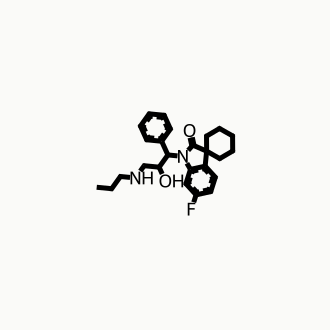 CCCNCC(O)C(c1ccccc1)N1C(=O)C2(CCCCC2)c2ccc(F)cc21